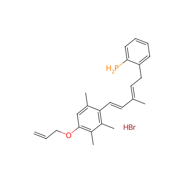 Br.C=CCOc1cc(C)c(C=CC(C)=CCc2ccccc2P)c(C)c1C